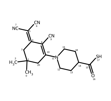 CC1(C)CC(=C(C#N)C#N)C(C#N)=C(N2CCC(C(=O)S)CC2)C1